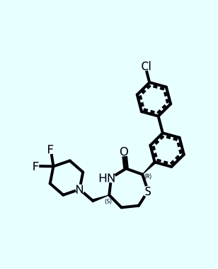 O=C1N[C@H](CN2CCC(F)(F)CC2)CCS[C@@H]1c1cccc(-c2ccc(Cl)cc2)c1